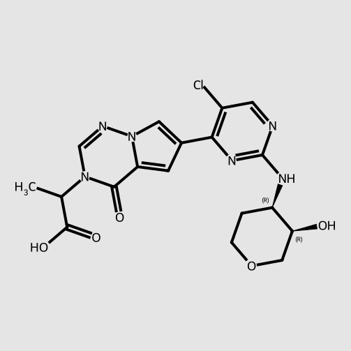 CC(C(=O)O)n1cnn2cc(-c3nc(N[C@@H]4CCOC[C@@H]4O)ncc3Cl)cc2c1=O